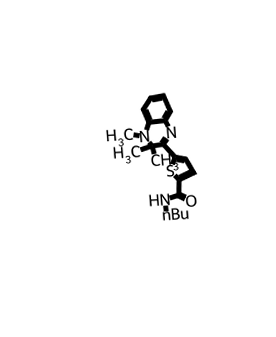 CCCCNC(=O)c1ccc(C2=Nc3ccccc3N(C)C2(C)C)s1